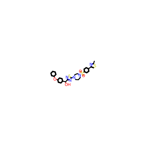 Cc1nc(-c2ccc(S(=O)(=O)N3CCCN(c4nc(C(O)c5ccc(Oc6ccccc6)cc5)ns4)CC3)cc2)cs1